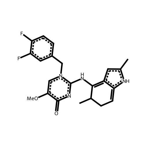 COc1cn(Cc2ccc(F)c(F)c2)c(NC2=c3cc(C)[nH]c3=CCC2C)nc1=O